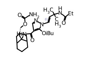 CCC(=O)NC(C)(C)/C=C/n1ncc(C(=O)N[C@H]2C3CCCC2C[C@@H](COC(N)=O)C3)c1OCC(C)C